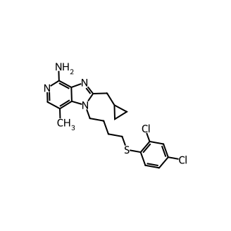 Cc1cnc(N)c2nc(CC3CC3)n(CCCCSc3ccc(Cl)cc3Cl)c12